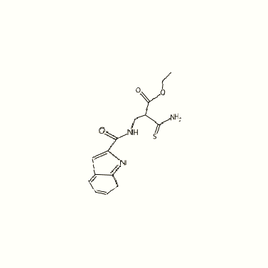 CCOC(=O)C(CNC(=O)C1=CC2=CC=CCC2=N1)C(N)=S